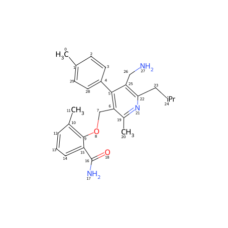 Cc1ccc(-c2c(COc3c(C)cccc3C(N)=O)c(C)nc(CC(C)C)c2CN)cc1